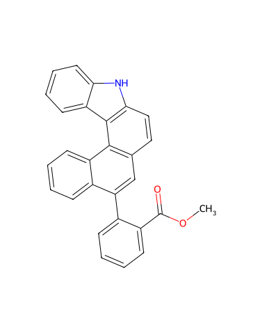 COC(=O)c1ccccc1-c1cc2ccc3[nH]c4ccccc4c3c2c2ccccc12